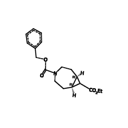 CCOC(=O)C1[C@H]2CCN(C(=O)OCc3ccccc3)CC[C@@H]12